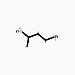 CCCC(C)C[CH]C(C)C